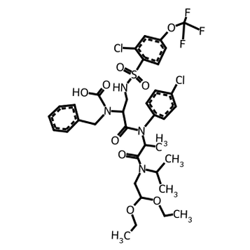 CCOC(CN(C(=O)C(C)N(C(=O)C(CNS(=O)(=O)c1ccc(OC(F)(F)F)cc1Cl)N(Cc1ccccc1)C(=O)O)c1ccc(Cl)cc1)C(C)C)OCC